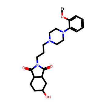 CCOc1ccccc1N1CCN(CCCN2C(=O)C3CCC(O)CC3C2=O)CC1